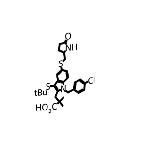 CC(C)(C)Sc1c(CC(C)(C)C(=O)O)n(Cc2ccc(Cl)cc2)c2ccc(SCC3CCC(=O)N3)cc12